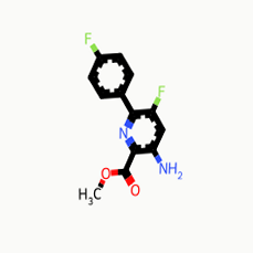 COC(=O)c1nc(-c2ccc(F)cc2)c(F)cc1N